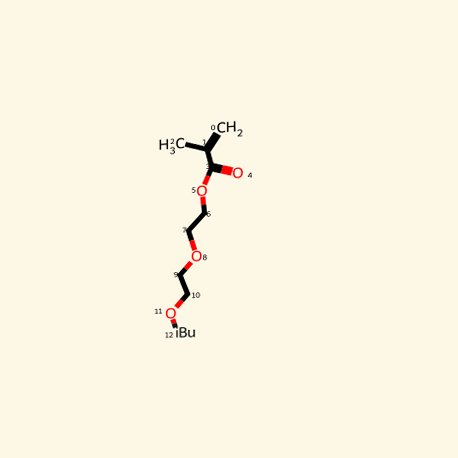 C=C(C)C(=O)OCCOCCOC(C)CC